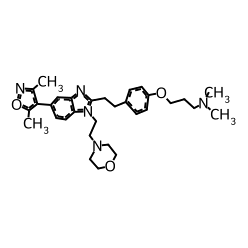 Cc1noc(C)c1-c1ccc2c(c1)nc(CCc1ccc(OCCCN(C)C)cc1)n2CCN1CCOCC1